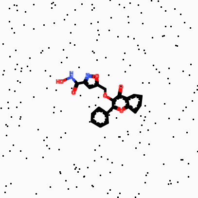 O=C(NO)c1cc(COc2c(-c3ccccc3)oc3ccccc3c2=O)on1